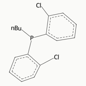 CCCCP(c1ccccc1Cl)c1ccccc1Cl